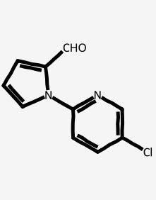 O=Cc1cccn1-c1ccc(Cl)cn1